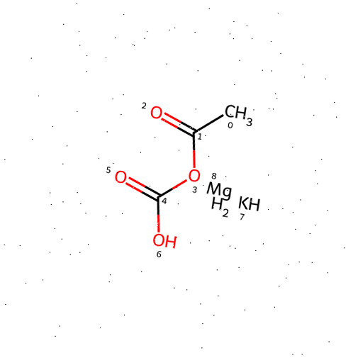 CC(=O)OC(=O)O.[KH].[MgH2]